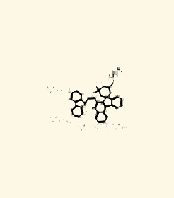 COc1ccc(C2(c3ccc(OC)cc3)C=Cc3c4c(c5cc(SC)c(SC)cc5c3O2)-c2ccccc2C42CC(CN=[N+]=[N-])CC(C)(C)C2)cc1